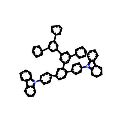 c1ccc(-c2cc(-c3ccccc3)cc(-c3cc(-c4ccccc4)cc(-c4cc(-c5ccc(-n6c7ccccc7c7ccccc76)cc5)ccc4-c4ccc(-n5c6ccccc6c6ccccc65)cc4)c3)c2)cc1